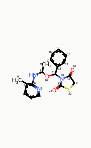 Cc1cccnc1NC(C)OC(c1ccccc1)N1C(=O)CSC1=O